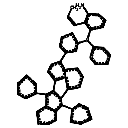 C/C=C\c1c(N)cccc1N(c1ccccc1)c1cccc(-c2ccc3c4c(cccc24)-c2c-3c(-c3ccccc3)c3ccccc3c2-c2ccccc2)c1